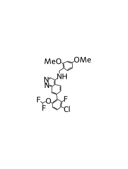 COc1ccc(CNc2cnnc3cc(-c4c(OC(F)F)ccc(Cl)c4F)ccc23)c(OC)c1